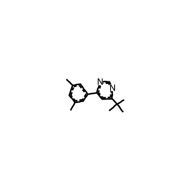 Cc1cc(C)cc(-c2cc(C(C)(C)C)ncn2)c1